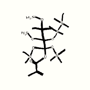 C=C(C)C(=O)OC(O[Si](C)(C)C)(O[Si](C)(C)C)C(O[SiH3])(O[Si](C)(C)[Si](C)(C)C)C(C)(C)O[SiH3]